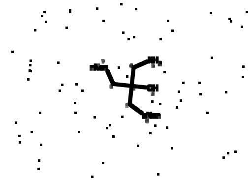 CCCCCCCCCCC(O)(CN)CCCCCCCCCC